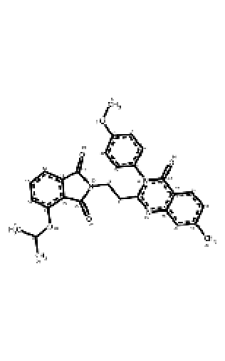 COc1ccc(-n2c(CCN3C(=O)c4cccc(OC(C)C)c4C3=O)nc3cc(C)ccc3c2=O)cc1